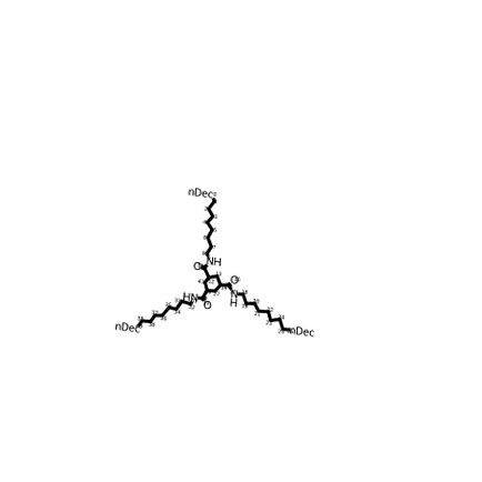 CCCCCCCCCCCCCCCCCCNC(=O)C1CC(C(=O)NCCCCCCCCCCCCCCCCCC)CC(C(=O)NCCCCCCCCCCCCCCCCCC)C1